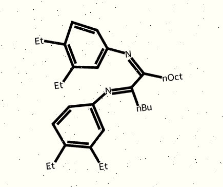 CCCCCCCCC(=Nc1ccc(CC)c(CC)c1)C(CCCC)=Nc1ccc(CC)c(CC)c1